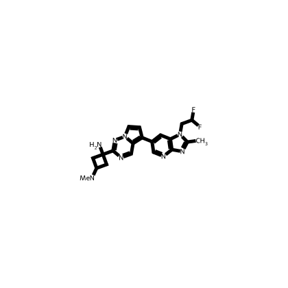 CNC1CC(N)(c2ncc3c(-c4cnc5nc(C)n(CC(F)F)c5c4)ccn3n2)C1